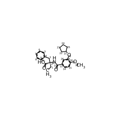 CC[C@@](Cc1ccccc1)(NC(=O)c1ccc(OC)c(OC2CCCC2)c1)C(=O)O